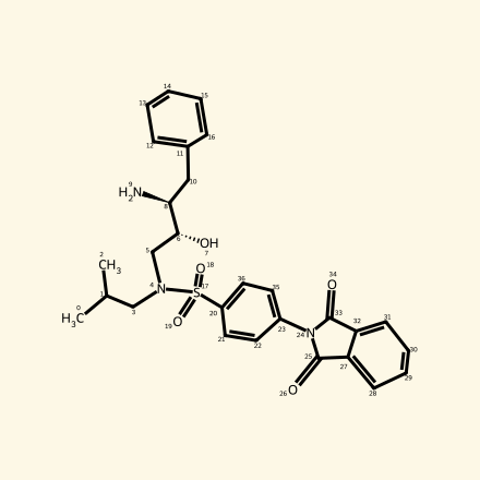 CC(C)CN(C[C@@H](O)[C@@H](N)Cc1ccccc1)S(=O)(=O)c1ccc(N2C(=O)c3ccccc3C2=O)cc1